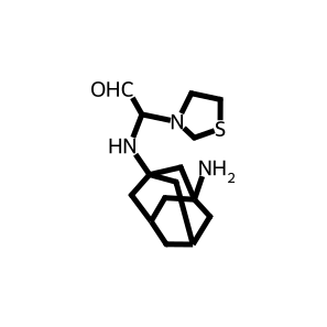 NC12CC3CC(C1)CC(NC(C=O)N1CCSC1)(C3)C2